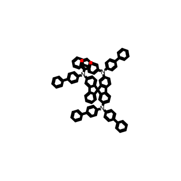 c1ccc(-c2ccc(N(c3ccccc3)c3ccc4c(c3)-c3ccccc3C43c4cc(N(c5ccc(-c6ccccc6)cc5)c5ccc(-c6ccccc6)cc5)ccc4-c4ccc(N(c5ccc(-c6ccccc6)cc5)c5ccc(-c6ccccc6)cc5)cc43)cc2)cc1